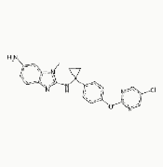 Cn1c(NC2(c3ccc(Oc4ncc(Cl)cn4)cc3)CC2)nc2ccc(N)cc21